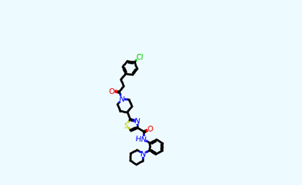 O=C(Nc1ccccc1N1CCCCC1)c1csc(C2CCN(C(=O)CCc3ccc(Cl)cc3)CC2)n1